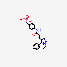 CCn1ncc(/C=C/C(=O)Nc2ccc(CP(=O)(O)O)cc2)c1-c1ccc(F)cc1